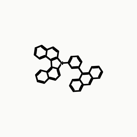 c1cc(-c2c3ccccc3cc3ccccc23)cc(-n2c3ccc4ccccc4c3c3c4ccccc4ccc32)c1